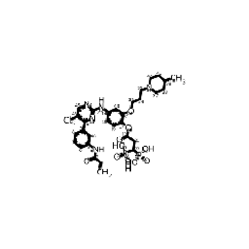 C=CC(=O)Nc1cccc(-c2nc(Nc3ccc(OC(=O)CC(P(=O)(O)O)P(=O)(O)O)c(OCCCN4CCC(C)CC4)c3)ncc2Cl)c1